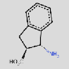 N[C@H]1c2ccccc2C[C@@H]1C(=O)O